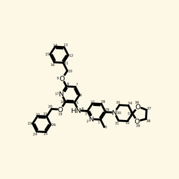 Cc1nc(Nc2ccc(OCc3ccccc3)nc2OCc2ccccc2)ccc1N1CCC2(CC1)OCCO2